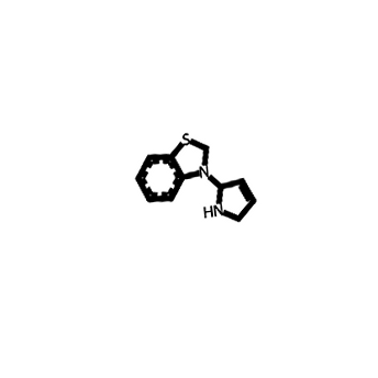 C1=CC(N2CSc3ccccc32)NC1